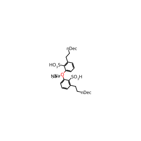 CCCCCCCCCCCCc1cccc(Oc2cccc(CCCCCCCCCCCC)c2S(=O)(=O)O)c1S(=O)(=O)O.[Na].[Na]